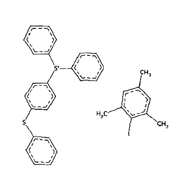 Cc1cc(C)c(I)c(C)c1.c1ccc(Sc2ccc([S+](c3ccccc3)c3ccccc3)cc2)cc1